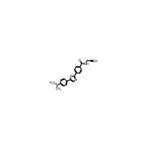 C#CCNC(=O)c1ccc(-c2ncc(-c3ccc(N(C)C)cc3)o2)cc1